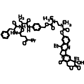 CCc1c2c(nc3ccc(OC(=O)N(C)CCN(C)C(=O)OCc4ccc(NC(=O)[C@H](C)NC(=O)[C@H](Cc5ccccc5)NC(=O)CCC(=O)C(C)C)cc4)cc13)-c1cc3c(c(=O)n1C2)COC(=O)[C@]3(O)CC